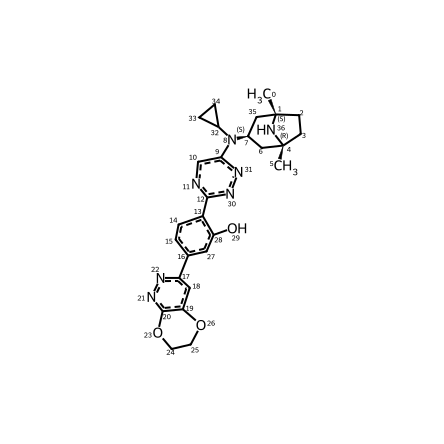 C[C@]12CC[C@](C)(C[C@@H](N(c3cnc(-c4ccc(-c5cc6c(nn5)OCCO6)cc4O)nn3)C3CC3)C1)N2